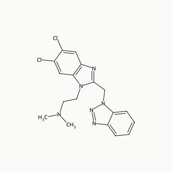 CN(C)CCn1c(Cn2nnc3ccccc32)nc2cc(Cl)c(Cl)cc21